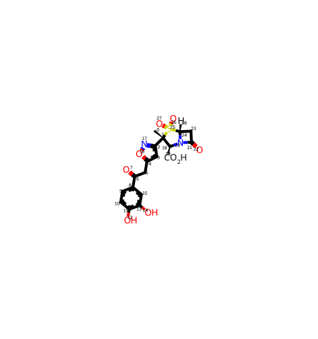 C[C@]1(c2cc(CC(=O)c3ccc(O)c(O)c3)on2)[C@H](C(=O)O)N2C(=O)C[C@H]2S1(=O)=O